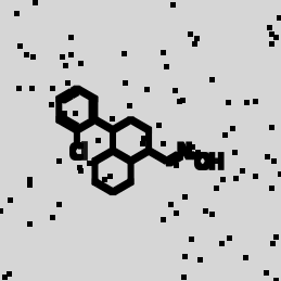 ON=CC1CCC(c2ccccc2Cl)C2CCCCC12